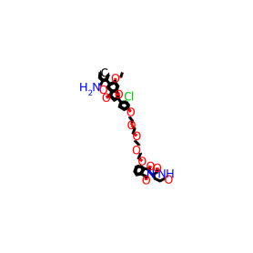 CCOc1cc2oc(-c3ccc(OCCOCCOCCOCCOc4cccc5c4C(=O)N(C4CCC(=O)NC4=O)C5=O)cc3Cl)cc(=O)c2cc1-c1ccccc1C(N)=O